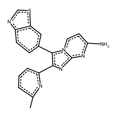 Cc1cccc(-c2nc3nc(N)ccn3c2-c2ccc3ncsc3c2)n1